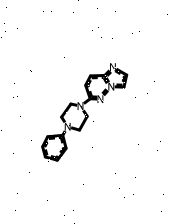 c1ccc(N2CCN(c3ccc4nccn4n3)CC2)cc1